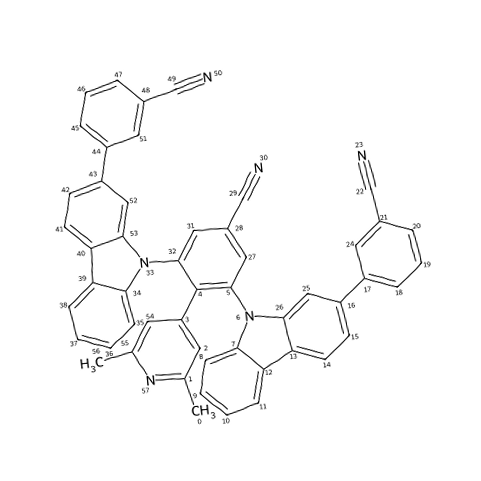 Cc1cc(-c2c(-n3c4ccccc4c4ccc(-c5cccc(C#N)c5)cc43)cc(C#N)cc2-n2c3ccccc3c3ccc(-c4cccc(C#N)c4)cc32)cc(C)n1